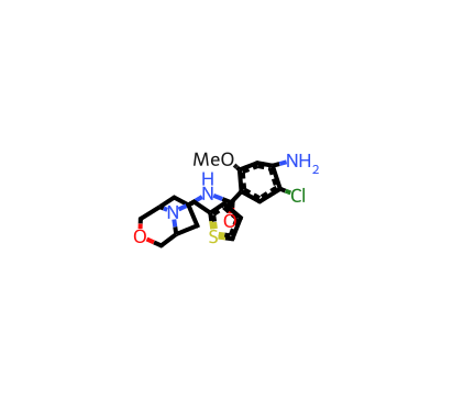 COc1cc(N)c(Cl)cc1C(=O)NC1CC2COCC(C1)N2Cc1cccs1